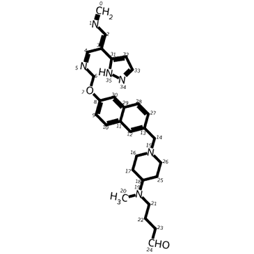 C=N/C=C(\C=N/COc1ccc2cc(CN3CCC(N(C)CCCC=O)CC3)ccc2c1)c1ccn[nH]1